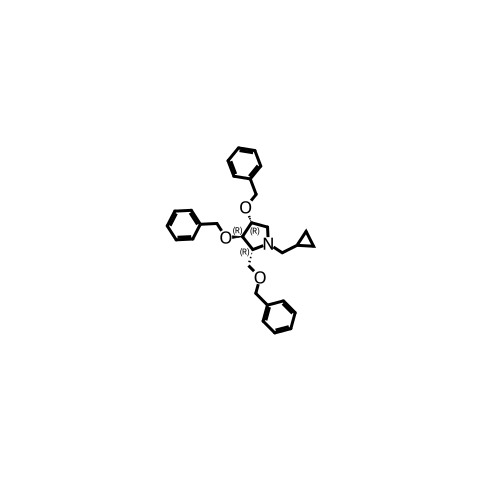 c1ccc(COC[C@@H]2[C@@H](OCc3ccccc3)[C@H](OCc3ccccc3)CN2CC2CC2)cc1